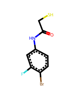 O=C(CS)Nc1ccc(Br)c(F)c1